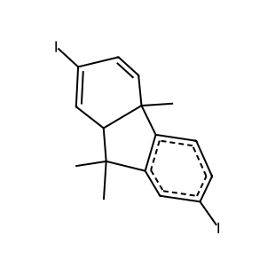 CC1(C)c2cc(I)ccc2C2(C)C=CC(I)=CC12